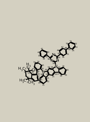 CC1CC(C)(C)c2cccc(-c3ccccc3-n3c4ccccc4c4cc5c6ccccc6n(-c6nc(-c7ccccc7)nc(-c7ccc(-c8ccccc8)cc7)n6)c5cc43)c2C1(C)C